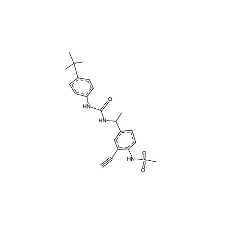 C#Cc1cc(C(C)NC(=O)Nc2ccc(C(C)(C)C)cc2)ccc1NS(C)(=O)=O